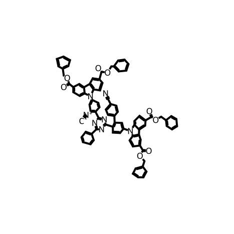 [C-]#[N+]c1cc(-n2c3ccc(C(=O)OCc4ccccc4)cc3c3cc(C(=O)OCc4ccccc4)ccc32)ccc1-c1nc(-c2ccccc2)nc(-c2ccc(-n3c4ccc(C(=O)OCc5ccccc5)cc4c4cc(C(=O)OCc5ccccc5)ccc43)cc2-c2ccc(C#N)cc2)n1